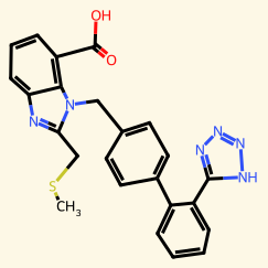 CSCc1nc2cccc(C(=O)O)c2n1Cc1ccc(-c2ccccc2-c2nnn[nH]2)cc1